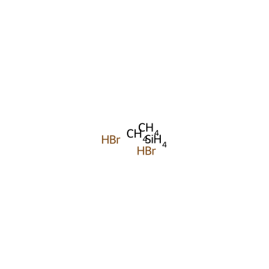 Br.Br.C.C.[SiH4]